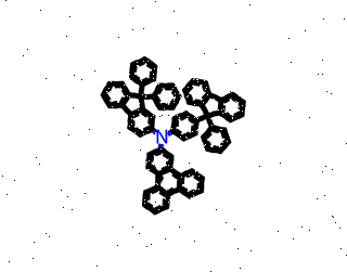 c1ccc(C2(c3ccc(N(c4ccc5c(c4)C(c4ccccc4)(c4ccccc4)c4ccccc4-5)c4ccc5c6ccccc6c6ccccc6c5c4)cc3)c3ccccc3-c3ccccc32)cc1